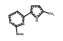 CC(=O)Nc1nccc(-c2ccc(C)[nH]2)n1